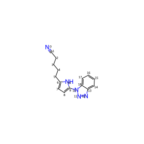 N#CCCCCc1ccc(-n2nnc3ccccc32)[nH]1